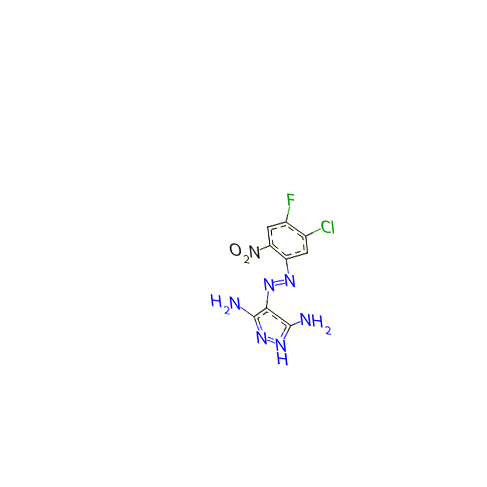 Nc1n[nH]c(N)c1N=Nc1cc(Cl)c(F)cc1[N+](=O)[O-]